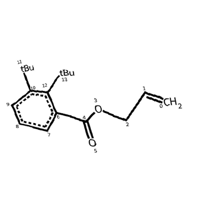 C=CCOC(=O)c1cccc(C(C)(C)C)c1C(C)(C)C